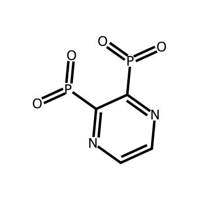 O=P(=O)c1nccnc1P(=O)=O